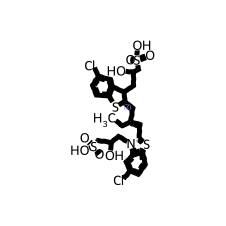 CCC(=Cc1sc2ccc(Cl)cc2[n+]1CC(O)CS(=O)(=O)O)/C=C1\Sc2ccc(Cl)cc2C1CC(O)CS(=O)(=O)O